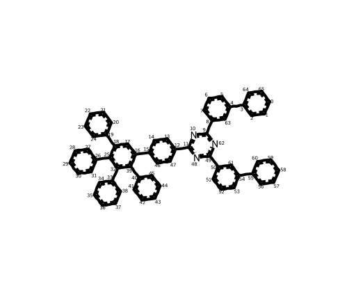 c1ccc(-c2cccc(-c3nc(-c4ccc(-c5cc(-c6ccccc6)c(-c6ccccc6)c(-c6ccccc6)c5-c5ccccc5)cc4)nc(-c4cccc(-c5ccccc5)c4)n3)c2)cc1